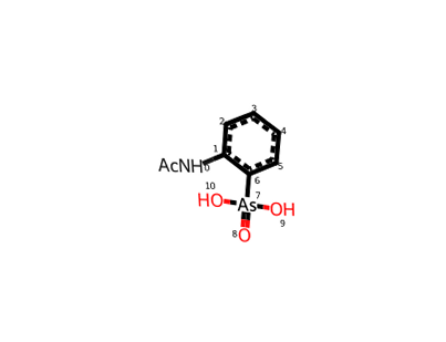 CC(=O)Nc1ccccc1[As](=O)(O)O